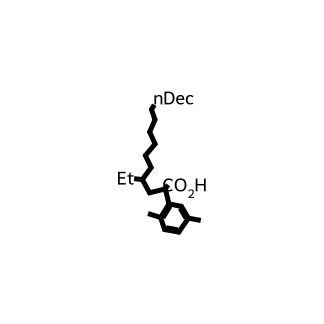 CCCCCCCCCCCCCCCCC(CC)CC(C(=O)O)c1cc(C)ccc1C